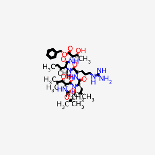 CCC(C)[C@H](NC(=O)[C@@H](CCCNC(=N)N)NC(=O)[C@H](CC(C)C)NC(=O)[C@@H](NC(=O)OC(C)(C)C)[C@H](O)C(C)C)C(=O)N[C@H](C(=O)OCc1ccccc1)[C@H](C)O